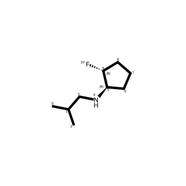 CC(C)CN[C@@H]1CCC[C@H]1F